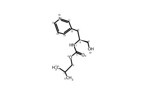 CC(C)COC(=O)N[C@H](CO)Cc1cccnc1